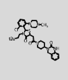 CN1CCN(c2cccc(Cl)c2C2SC(CC(=O)N3CCC(N4Cc5ccccc5NC4=O)CC3)C(=O)N2CCC(C)(C)C)CC1